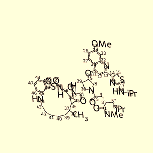 CNC(=O)[C@H](CC(=O)N1C[C@H](Oc2cc(-c3csc(NC(C)C)n3)nc3cc(OC)ccc23)C[C@H]1C(=O)N[C@]12CC1C(C)CCCCCNc1ccccc1S(=O)(=O)NC2=O)CC(C)C